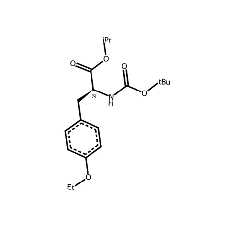 CCOc1ccc(C[C@H](NC(=O)OC(C)(C)C)C(=O)OC(C)C)cc1